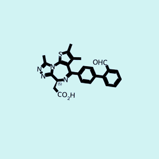 Cc1sc2c(c1C)C(c1ccc(-c3ccccc3C=O)cc1)=N[C@@H](CC(=O)O)c1nnc(C)n1-2